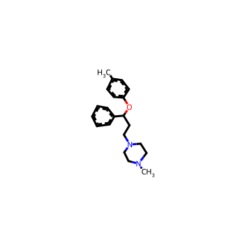 Cc1ccc(OC(CCN2CCN(C)CC2)c2ccccc2)cc1